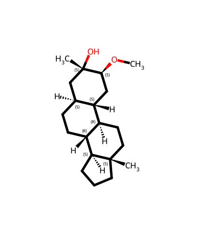 CO[C@H]1C[C@H]2[C@@H](CC[C@@H]3[C@@H]2CC[C@]2(C)CCC[C@@H]32)C[C@]1(C)O